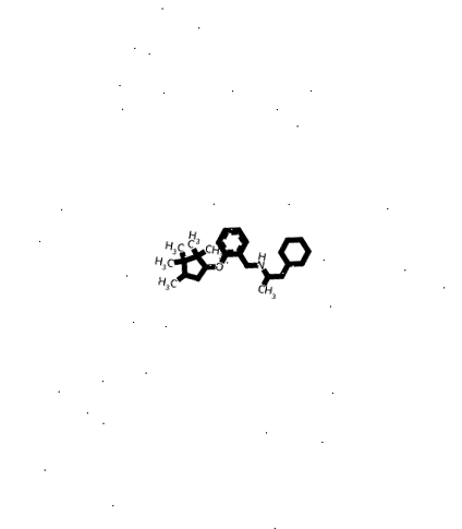 CC(CC1CCCCC1)NCc1ccccc1OC1CC(C)C(C)(C)C1(C)C